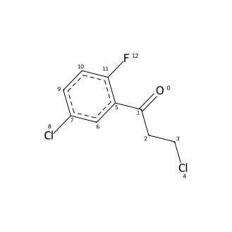 O=C(CCCl)c1cc(Cl)ccc1F